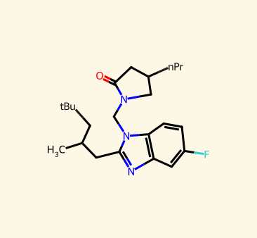 CCCC1CC(=O)N(Cn2c(CC(C)CC(C)(C)C)nc3cc(F)ccc32)C1